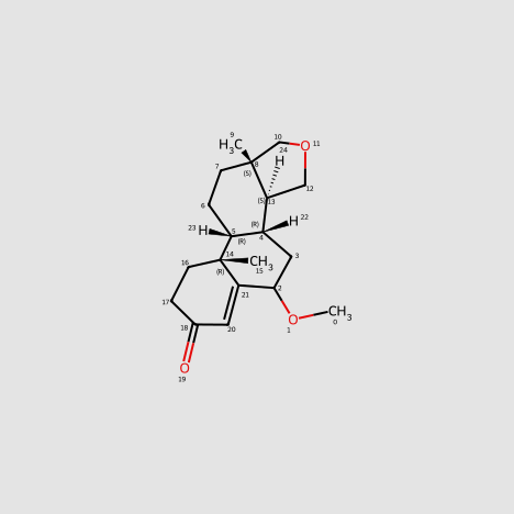 COC1C[C@@H]2[C@@H](CC[C@]3(C)COC[C@@H]23)[C@@]2(C)CCC(=O)C=C12